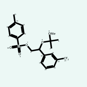 COC(C)(C)OC(COS(=O)(=O)c1ccc(C)cc1)c1cccc(C(F)(F)F)c1